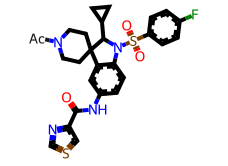 CC(=O)N1CCC2(CC1)c1cc(NC(=O)c3cscn3)ccc1N(S(=O)(=O)c1ccc(F)cc1)C2C1CC1